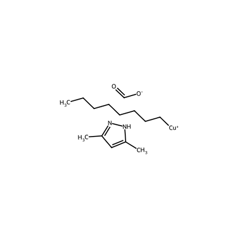 CCCCCCC[CH2][Cu+].Cc1cc(C)[nH]n1.O=C[O-]